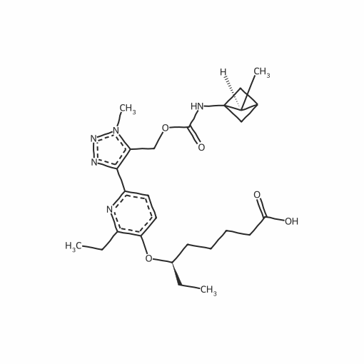 CCc1nc(-c2nnn(C)c2COC(=O)NC23CC(C2)[C@@H]3C)ccc1O[C@H](CC)CCCCC(=O)O